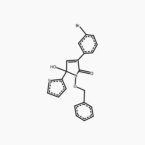 O=C1C(c2cccc(Br)c2)=CC(O)(c2cccs2)N1OCc1ccccc1